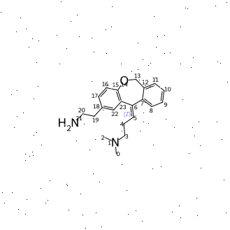 CN(C)CC/C=C1/c2ccccc2COc2ccc(CCN)cc21